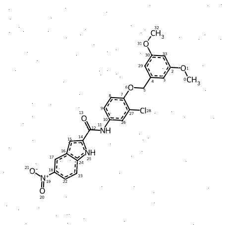 COc1cc(COc2ccc(NC(=O)c3cc4cc([N+](=O)[O-])ccc4[nH]3)cc2Cl)cc(OC)c1